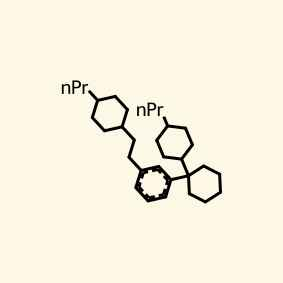 CCCC1CCC(CCc2cccc(C3(C4CCC(CCC)CC4)CCCCC3)c2)CC1